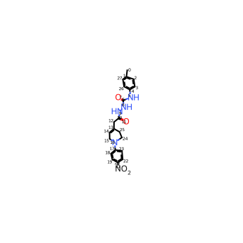 Cc1ccc(NC(=O)NNC(=O)CC2=CCN(c3ccc([N+](=O)[O-])cc3)CC2)cc1